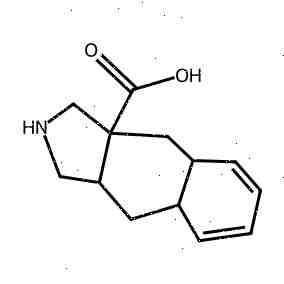 O=C(O)C12CNCC1CC1C=CC=CC1C2